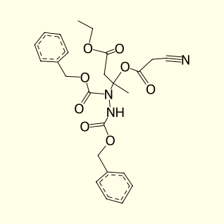 CCOC(=O)CC(C)(OC(=O)CC#N)N(NC(=O)OCc1ccccc1)C(=O)OCc1ccccc1